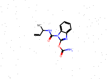 C=CC(C#N)NC(=O)n1c(OC(N)=O)nc2ccccc21